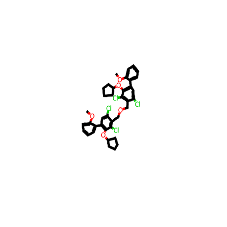 COc1ccccc1-c1cc(Cl)c(COCc2c(Cl)cc(-c3ccccc3OC)c(OC3CCCC3)c2Cl)c(Cl)c1OC1CCCC1